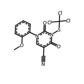 COc1ccccc1-n1cc(C#N)c(=O)n(SC(Cl)(Cl)Cl)c1=O